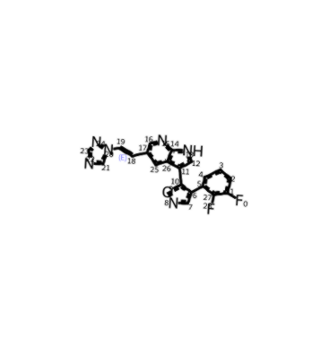 Fc1cccc(-c2cnoc2-c2c[nH]c3ncc(/C=C/n4cncn4)cc23)c1F